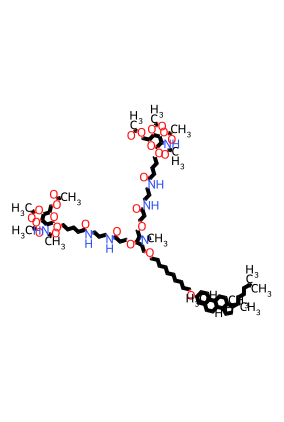 CC(=O)NC1C(OCCCCC(=O)NCCCNC(=O)CCOCC2C(OCCC(=O)NCCCNC(=O)CCCCOC3OC(COC(C)=O)C(OC(C)=O)C(OC(C)=O)C3NC(C)=O)C(COCCCCCCCCCCO[C@@H]3C=C4CC[C@H]5[C@@H]6CC[C@H]([C@H](C)CCCC(C)C)[C@@]6(C)CC[C@@H]5[C@@]4(C)CC3)N2C)OC(COC(C)=O)C(OC(C)=O)C1OC(C)=O